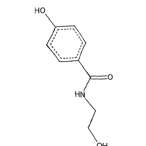 O=C(NCCO)c1ccc(O)cc1